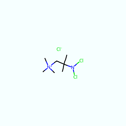 CC(C)(C[N+](C)(C)C)N(Cl)Cl.[Cl-]